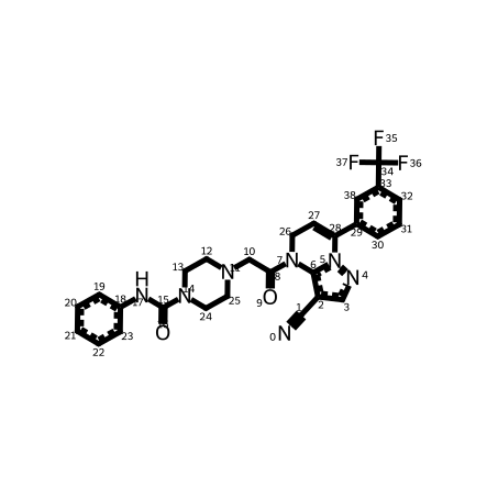 N#Cc1cnn2c1N(C(=O)CN1CCN(C(=O)Nc3ccccc3)CC1)CC=C2c1cccc(C(F)(F)F)c1